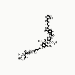 Cc1cc(OCCCC(=O)NCCNC(=O)[C@@H](C)CS(=O)(=O)O)cc(C)c1S(=O)(=O)N[C@@H](CNC(=O)c1ccc2c(cnn2CCCNc2ncc[nH]2)c1)C(=O)O